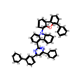 c1ccc(-c2cccc(-c3cc(-c4ccccc4)nc(-c4cccc5c4c4ccccc4n5-c4cccc5c4oc4c(-c6ccccc6)cccc45)n3)c2)cc1